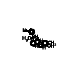 CC(Nc1cccc(C#N)c1)[C@H]1CCC[C@H]2[C@@H]3CC[C@@H]4C[C@](C)(O)CC[C@@H]4C3CC[C@]12C